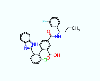 CCC[C@H](NC(=O)c1ccc(-c2c(Cl)cccc2-c2nc3ccccc3[nH]2)c(C(=O)O)c1)c1cccc(F)c1